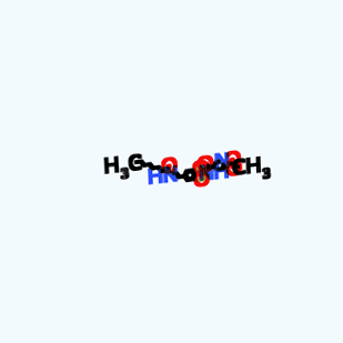 CCCCCCCC(=O)NCCc1ccc(S(=O)(=O)NC(=O)c2ccc(C(=O)OC)nc2)cc1